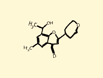 Cc1cc(C(C)O)c2oc(C3CCOCC3)cc(=O)c2c1